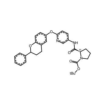 CC(C)(C)OC(=O)N1CCC[C@@H]1C(=O)Nc1ccc(Oc2ccc3c(c2)CCC(c2ccccc2)O3)nc1